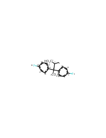 CC(C(=O)O)C(C(=O)O)(c1ccc(F)cc1)c1ccc(F)cc1